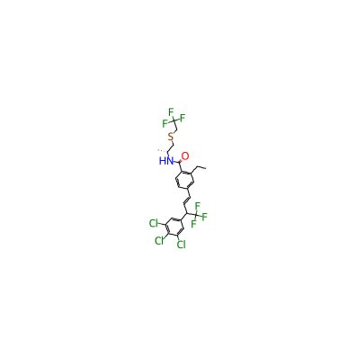 CCc1cc(/C=C/C(c2cc(Cl)c(Cl)c(Cl)c2)C(F)(F)F)ccc1C(=O)N[C@H](C)CSCC(F)(F)F